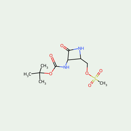 CC(C)(C)OC(=O)NC1C(=O)NC1COS(C)(=O)=O